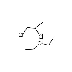 CC(Cl)CCl.CCOCC